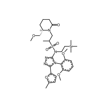 COC[C@@H]1CCCC(=O)N1CC(C)S(=O)(=O)N(CC[Si](C)(C)C)c1nnc(-c2ccc(C)o2)n1-c1c(OC)cccc1OC